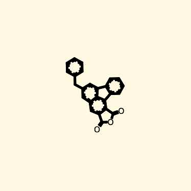 O=C1OC(=O)c2c1cc1cc(Cc3ccccc3)cc3c1c2-c1ccccc1-3